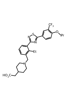 CCc1c(CN2CCC(CC(=O)O)CC2)cccc1-c1nsc(-c2ccc(OC(C)C)c(C(F)(F)F)c2)n1